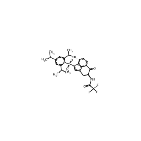 CC(C)c1cc(C(C)C)c(S(=O)(=O)n2cc3c4c(cccc42)C(=O)C(NC(=O)C(F)(F)F)C3)c(C(C)C)c1